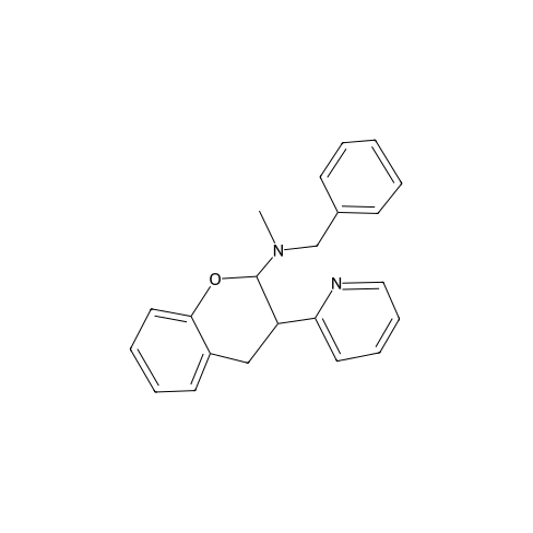 CN(Cc1ccccc1)C1Oc2ccccc2CC1c1ccccn1